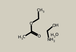 CCOC(C)=O.NCO.O